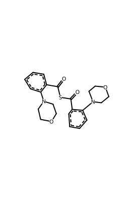 O=C(SC(=O)c1ccccc1N1CCOCC1)c1ccccc1N1CCOCC1